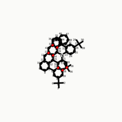 CC(C)(C)c1cc(-c2cccc3cccc(-c4ccccc4N(c4ccc(C(C)(C)C)cc4-c4ccccc4)c4cccc5oc6ccccc6c45)c23)cc(C(C)(C)C)c1